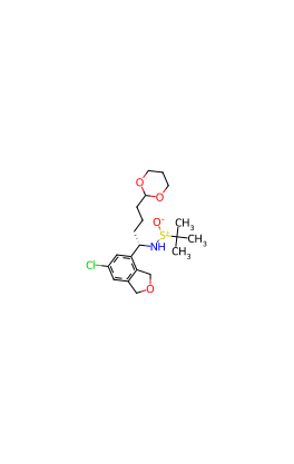 CC(C)(C)[S+]([O-])N[C@@H](CCCC1OCCCO1)c1cc(Cl)cc2c1COC2